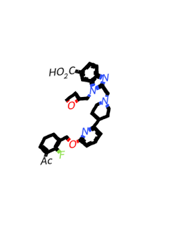 CC(=O)C1=CCCC(COc2cccc(C3CCN(Cc4nc5ccc(C(=O)O)cc5n4CC4CCO4)CC3)n2)=C1F